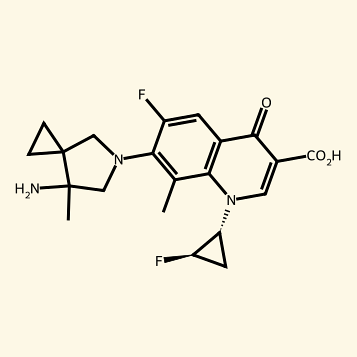 Cc1c(N2CC(C)(N)C3(CC3)C2)c(F)cc2c(=O)c(C(=O)O)cn([C@@H]3C[C@H]3F)c12